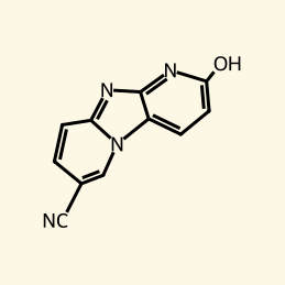 N#Cc1ccc2nc3nc(O)ccc3n2c1